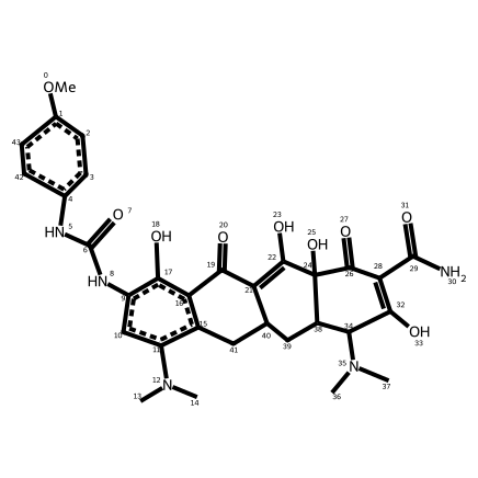 COc1ccc(NC(=O)Nc2cc(N(C)C)c3c(c2O)C(=O)C2=C(O)C4(O)C(=O)C(C(N)=O)=C(O)C(N(C)C)C4CC2C3)cc1